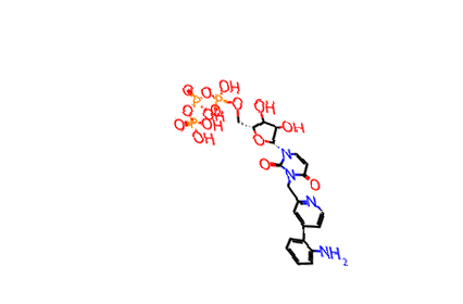 Nc1ccccc1-c1ccnc(Cn2c(=O)ccn([C@@H]3O[C@H](COP(=O)(O)OP(=O)(O)OP(=O)(O)O)C(O)C3O)c2=O)c1